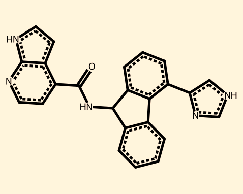 O=C(NC1c2ccccc2-c2c(-c3c[nH]cn3)cccc21)c1ccnc2[nH]ccc12